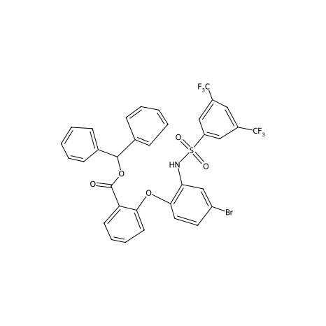 O=C(OC(c1ccccc1)c1ccccc1)c1ccccc1Oc1ccc(Br)cc1NS(=O)(=O)c1cc(C(F)(F)F)cc(C(F)(F)F)c1